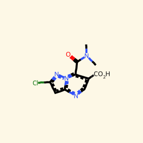 CN(C)C(=O)c1c(C(=O)O)cnc2cc(Cl)nn12